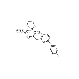 CCOC(=O)C1(OC(=O)Cc2cc(-c3ccc(F)cc3)ccc2Cl)CCCC1